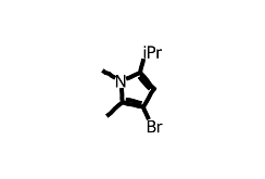 Cc1c(Br)cc(C(C)C)n1C